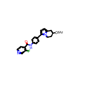 COC1CCn2c(ccc2-c2ccc(NC(=O)c3ccncc3F)cc2)C1